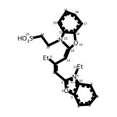 CCC(=Cc1oc2ccccc2[n+]1CC)C=C1Oc2ccccc2N1CCS(=O)(=O)O